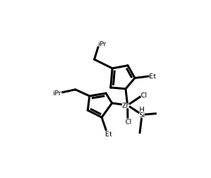 CCC1=CC(CC(C)C)=C[CH]1[Zr]([Cl])([Cl])([CH]1C=C(CC(C)C)C=C1CC)[SiH](C)C